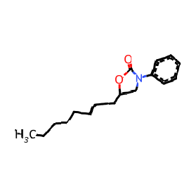 CCCCCCCCC1CN(c2ccccc2)C(=O)O1